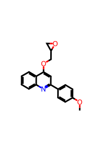 COc1ccc(-c2cc(OCC3CO3)c3ccccc3n2)cc1